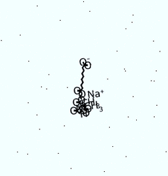 CC1(C)[C@H](C(=O)OCOC(=O)CCCCCCCCC(=O)[O-])N2C(=O)C[C@H]2S1(=O)=O.[Na+]